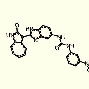 O=C(Nc1cccc([N+](=O)[O-])c1)Nc1ccc2[nH]c(-c3c4cccccc-4[nH]c3=O)nc2c1